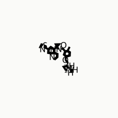 [2H]C([2H])([2H])N1CC[C@H]1COc1ccc(C)c(C(=O)NC2(c3cc(-c4nccs4)cc4ncccc34)CC2)c1